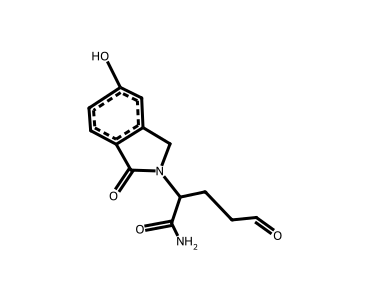 NC(=O)C(CCC=O)N1Cc2cc(O)ccc2C1=O